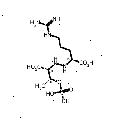 C[C@@H](OP(=O)(O)O)[C@H](NN[C@@H](CCCNC(=N)N)C(=O)O)C(=O)O